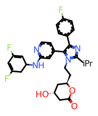 CC(C)c1nc(-c2ccc(F)cc2)c(-c2ccnc(NC3C=C(F)C=C(F)C3)c2)n1CC[C@@H]1C[C@@H](O)CC(=O)O1